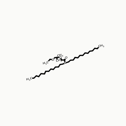 CCCCCCCCCCCCCCN(CCCCCCCCCCCCCC)C(=O)COC(C)(C)COCC